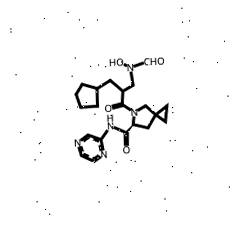 O=CN(O)CC(CC1CCCC1)C(=O)N1CC2(CC2)C[C@H]1C(=O)Nc1cnccn1